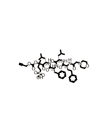 C#CCOC(=O)OC(C)(CCS(=O)(=O)O)C(=O)[C@H](CC(C)C)NC(=O)[C@H](Cc1ccccc1)NC(=O)[C@H](CC(C)C)NC(=O)[C@H](CCc1ccccc1)NC(=O)CN1CCOCC1